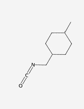 C[C]1CCC(CN=C=O)CC1